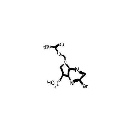 CC(C)(C)C(=O)OCn1cc(C(=O)O)c2nc(Br)cnc21